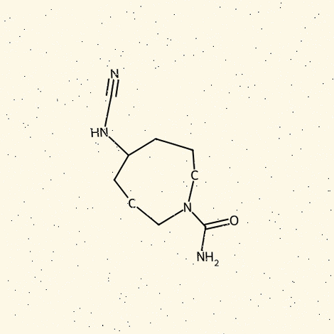 N#CNC1CCCN(C(N)=O)CCC1